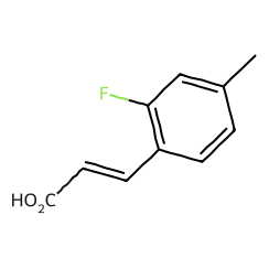 Cc1ccc(C=CC(=O)O)c(F)c1